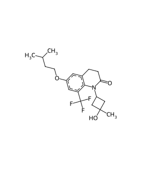 CC(C)CCOc1cc2c(c(C(F)(F)F)c1)N(C1CC(C)(O)C1)C(=O)CC2